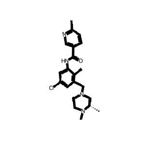 Cc1ccc(C(=O)Nc2cc(Cl)cc(CN3CCN(C)[C@@H](C)C3)c2C)cn1